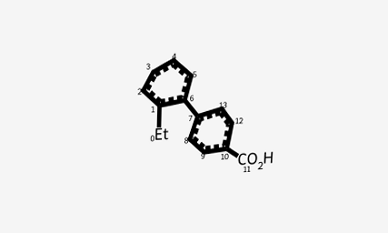 CCc1ccccc1-c1ccc(C(=O)O)cc1